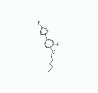 CCCCCOc1ccc(-c2ccc(F)cc2)cc1F